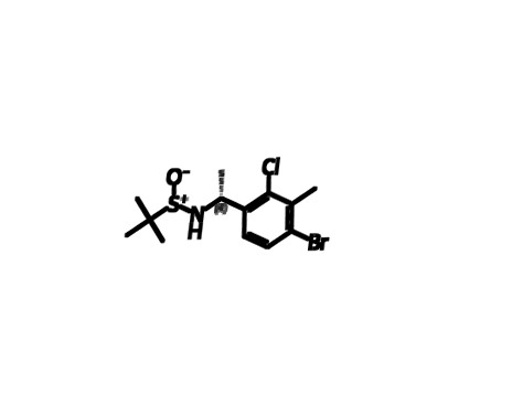 Cc1c(Br)ccc([C@@H](C)N[S+]([O-])C(C)(C)C)c1Cl